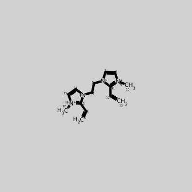 C=Cc1n(CCn2cc[n+](C)c2C=C)cc[n+]1C